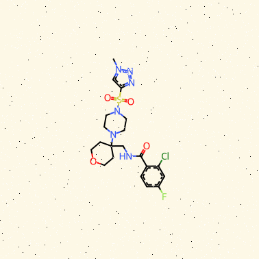 Cn1cc(S(=O)(=O)N2CCN(C3(CNC(=O)c4ccc(F)cc4Cl)CCOCC3)CC2)nn1